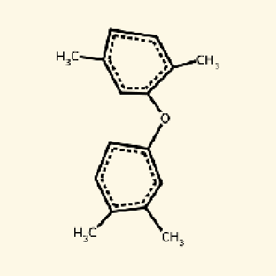 Cc1ccc(C)c(Oc2ccc(C)c(C)c2)c1